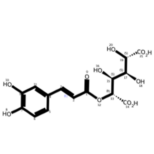 O=C(/C=C/c1ccc(O)c(O)c1)O[C@@H](C(=O)O)[C@@H](O)[C@H](O)[C@H](O)C(=O)O